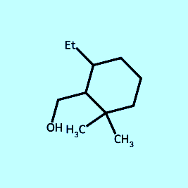 CCC1CCCC(C)(C)C1CO